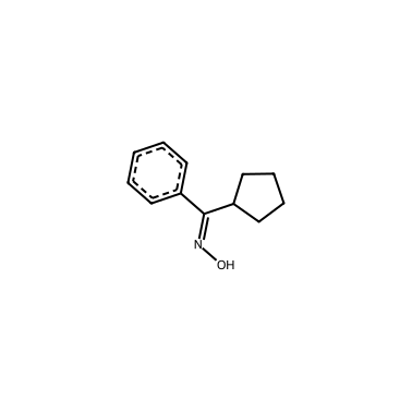 O/N=C(/c1ccccc1)C1CCCC1